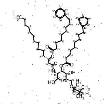 CCCCCCCCCCC[C@@H](CC(=O)N[C@H]1C(O)O[C@H](CO[Si](C)(C)C(C)(C)C)[C@@H](O)[C@@H]1OC(=O)CCCCCCCCc1ccccc1)OC(=O)CCCCCCCCc1ccccc1